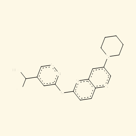 CC(C)c1cnnc(Nc2ccc3ncc(N4CCCCC4)cc3n2)c1